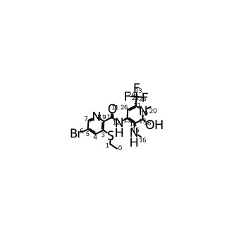 CCSc1cc(Br)cnc1C(=O)NC1=C(NC)C(O)N(C)C(C(F)(F)F)=C1